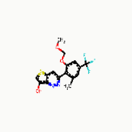 COCOc1cc(C(F)(F)F)cc(C)c1-c1cc2scc(O)c2nn1